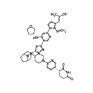 C=Nn1c(/C=C(\C)C#N)ccc1-c1cc(N[C@@H]2CCOC2)c(-c2nnc(N3CC4CCC(C3)N4CC3CCN(c4ccc([C@H]5CCC(=O)NC5=O)cn4)CC3)s2)cn1